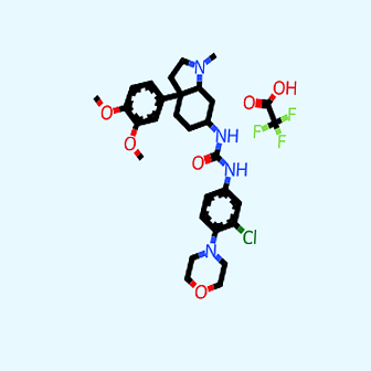 COc1ccc(C23CCC(NC(=O)Nc4ccc(N5CCOCC5)c(Cl)c4)CC2N(C)CC3)cc1OC.O=C(O)C(F)(F)F